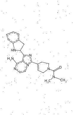 CN(C)C(=O)N1CC=C(c2nc(C3Cc4ccccc4N3)c3c(N)nccn23)CC1